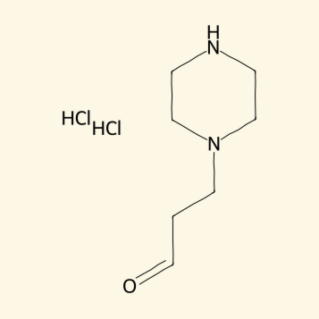 Cl.Cl.O=CCCN1CCNCC1